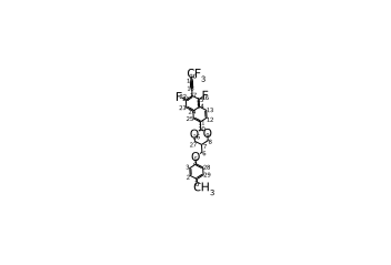 Cc1ccc(OCC2COC(c3ccc4c(F)c(C#CC(F)(F)F)c(F)cc4c3)OC2)cc1